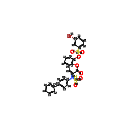 O=c1oc2c(OS(=O)(=O)c3cccc(Br)c3)cccc2cc1N(c1ccc(-c2ccccc2)cc1)[SH](=O)=O